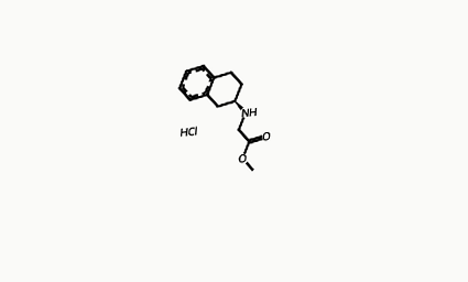 COC(=O)CN[C@@H]1CCc2ccccc2C1.Cl